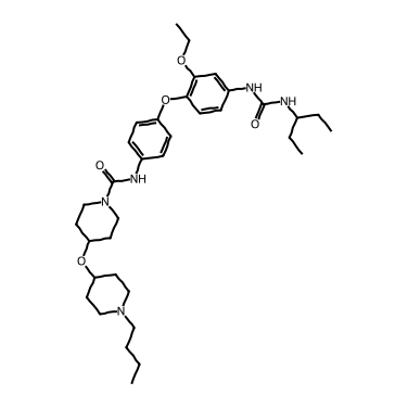 CCCCN1CCC(OC2CCN(C(=O)Nc3ccc(Oc4ccc(NC(=O)NC(CC)CC)cc4OCC)cc3)CC2)CC1